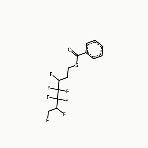 O=C(SCCC(F)C(F)(F)C(F)(F)C(F)CF)c1ccccc1